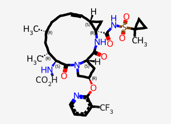 C[C@@H]1CCC=C[C@@H]2C[C@@]2(C(=O)NS(=O)(=O)C2(C)CC2)NC(=O)[C@@H]2C[C@@H](Oc3ncccc3C(F)(F)F)CN2C(=O)[C@@H](NC(=O)O)[C@H](C)C1